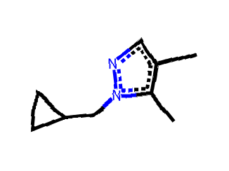 Cc1cnn(CC2CC2)c1C